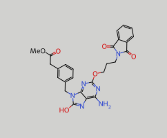 COC(=O)Cc1cccc(Cn2c(O)nc3c(N)nc(OCCCN4C(=O)c5ccccc5C4=O)nc32)c1